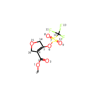 COC(=O)C1=C(OS(=O)(=O)C(F)(F)F)COC1